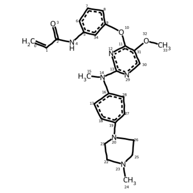 C=CC(=O)Nc1cccc(Oc2nc(N(C)c3ccc(N4CCN(C)CC4)cc3)ncc2OC)c1